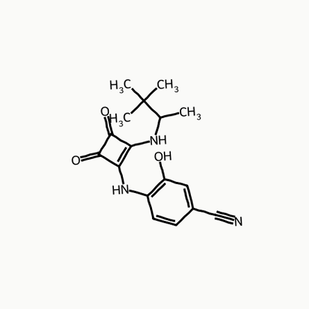 CC(Nc1c(Nc2ccc(C#N)cc2O)c(=O)c1=O)C(C)(C)C